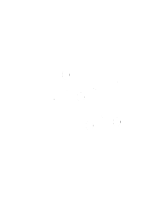 CCC(C)(C)C(=O)OC12CCC(C1)C1COC(=O)C12